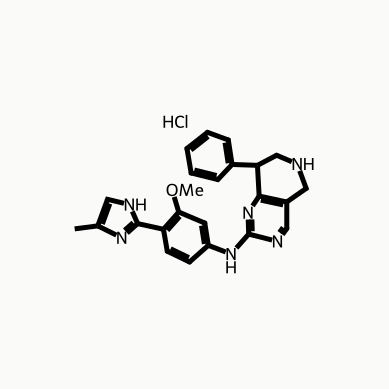 COc1cc(Nc2ncc3c(n2)C(c2ccccc2)CNC3)ccc1-c1nc(C)c[nH]1.Cl